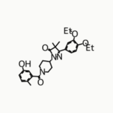 CCOc1ccc(C2=NN(C3CCN(C(=O)c4cc(O)ccc4C)CC3)C(=O)C2(C)C)cc1OCC